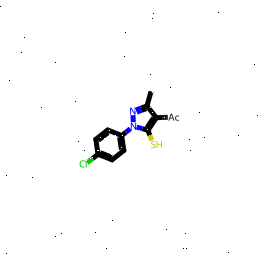 CC(=O)c1c(C)nn(-c2ccc(Cl)cc2)c1S